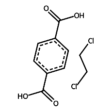 ClCCCl.O=C(O)c1ccc(C(=O)O)cc1